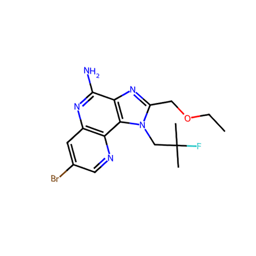 CCOCc1nc2c(N)nc3cc(Br)cnc3c2n1CC(C)(C)F